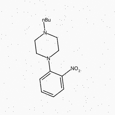 [CH2]CCCN1CCN(c2ccccc2[N+](=O)[O-])CC1